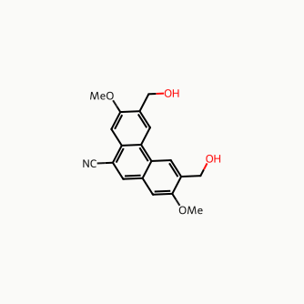 COc1cc2cc(C#N)c3cc(OC)c(CO)cc3c2cc1CO